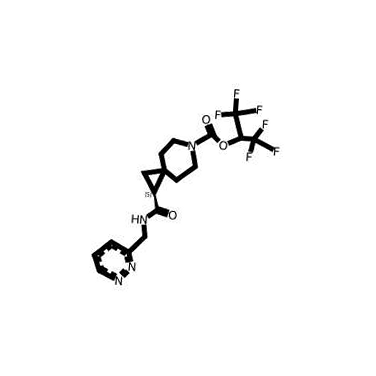 O=C(NCc1cccnn1)[C@H]1CC12CCN(C(=O)OC(C(F)(F)F)C(F)(F)F)CC2